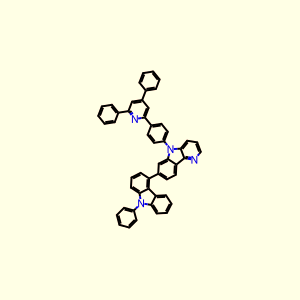 c1ccc(-c2cc(-c3ccccc3)nc(-c3ccc(-n4c5cc(-c6cccc7c6c6ccccc6n7-c6ccccc6)ccc5c5ncccc54)cc3)c2)cc1